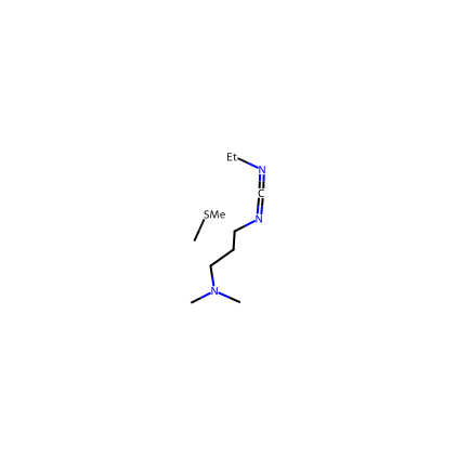 CCN=C=NCCCN(C)C.CSC